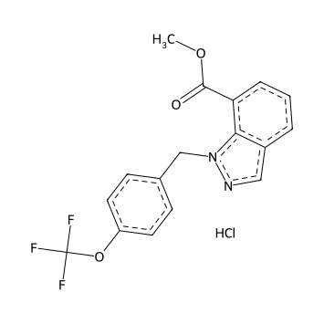 COC(=O)c1cccc2cnn(Cc3ccc(OC(F)(F)F)cc3)c12.Cl